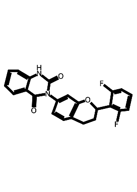 O=c1[nH]c2ccccc2c(=O)n1-c1ccc2c(c1)OC(c1c(F)cccc1F)CC2